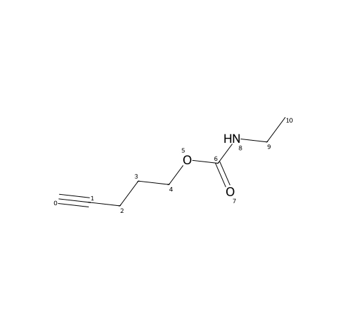 C#CCCCOC(=O)NCC